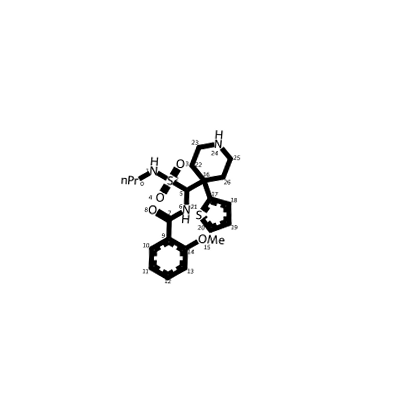 CCCNS(=O)(=O)C(NC(=O)c1ccccc1OC)C1(c2cccs2)CCNCC1